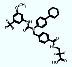 COc1cc(NC(=O)N(Cc2ccc(C(=O)NCC(F)(F)C(=O)O)cc2)c2ccc(C3=CCCCC3)cc2)cc(C(F)(F)F)c1